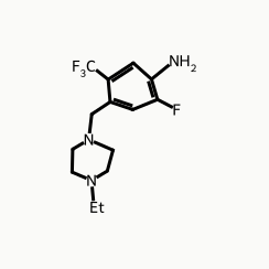 CCN1CCN(Cc2cc(F)c(N)cc2C(F)(F)F)CC1